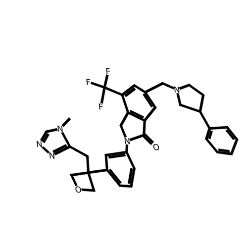 Cn1cnnc1CC1(c2cccc(N3Cc4c(cc(CN5CCC(c6ccccc6)C5)cc4C(F)(F)F)C3=O)c2)COC1